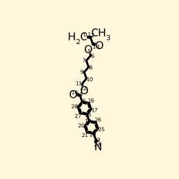 C=C(C)C(=O)OCCCCCCOC(=O)c1ccc(-c2ccc(C#N)cc2)cc1